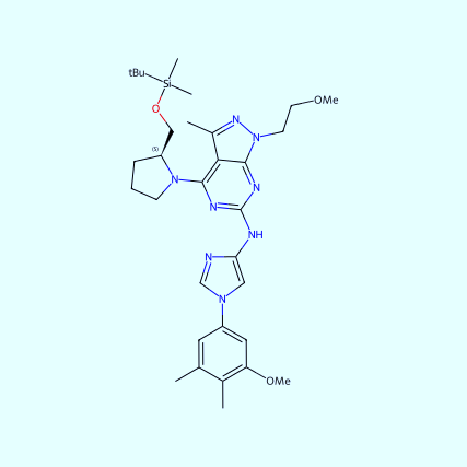 COCCn1nc(C)c2c(N3CCC[C@H]3CO[Si](C)(C)C(C)(C)C)nc(Nc3cn(-c4cc(C)c(C)c(OC)c4)cn3)nc21